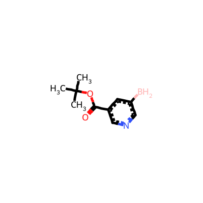 Bc1cncc(C(=O)OC(C)(C)C)c1